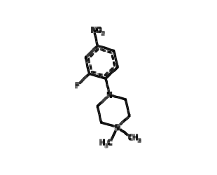 C[Si]1(C)CCN(c2ccc([N+](=O)[O-])cc2F)CC1